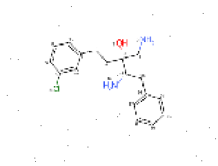 NC[C@](O)(CCc1cccc(Cl)c1)[C@@H](N)Cc1ccccc1